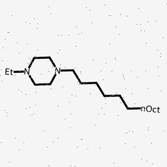 CCCCCCCCCCCCCCN1CCN(CC)CC1